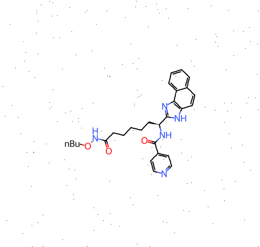 CCCCONC(=O)CCCCC[C@H](NC(=O)c1ccncc1)c1nc2c(ccc3ccccc32)[nH]1